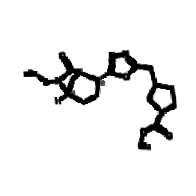 CCCCON1C(=O)N2C[C@@H]1CC[C@H]2c1nnc(CC2CCN(C(=O)OC(C)(C)C)C2)o1